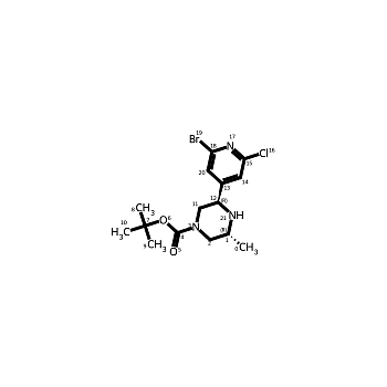 C[C@@H]1CN(C(=O)OC(C)(C)C)C[C@@H](c2cc(Cl)nc(Br)c2)N1